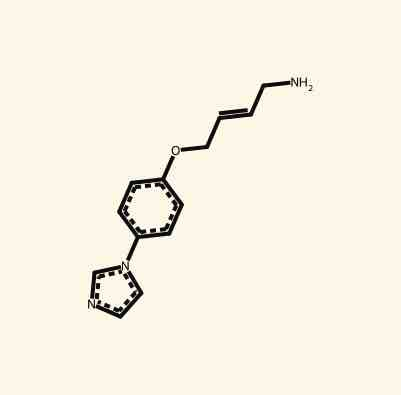 NC/C=C/COc1ccc(-n2ccnc2)cc1